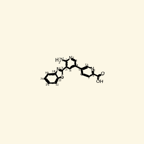 Nc1ncc(-c2ccc(C(=O)O)nc2)cc1-c1nc2ccccc2s1